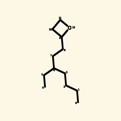 CCCCC(CC)CCC1CCO1